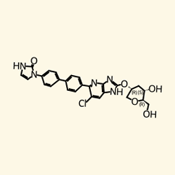 O=c1[nH]ccn1-c1ccc(-c2ccc(-c3nc4nc(O[C@H]5CO[C@H](CO)[C@@H](O)C5)[nH]c4cc3Cl)cc2)cc1